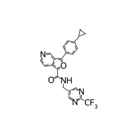 O=C(NCc1cnc(C(F)(F)F)nc1)c1oc(-c2ccc(C3CC3)cc2)c2cnccc12